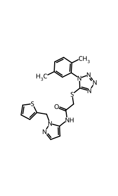 Cc1ccc(C)c(-n2nnnc2SCC(=O)Nc2ccnn2Cc2cccs2)c1